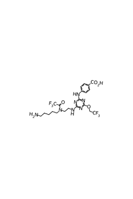 NCCCCCN(CCNc1nc(Nc2ccc(C(=O)O)cc2)nc(OCC(F)(F)F)n1)C(=O)C(F)(F)F